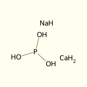 OP(O)O.[CaH2].[NaH]